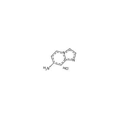 Cl.Nc1ccn2ccnc2c1